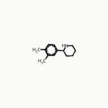 Cc1ccc(C2CCCCN2)cc1C